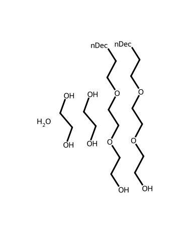 CCCCCCCCCCCCOCCOCCO.CCCCCCCCCCCCOCCOCCO.O.OCCO.OCCO